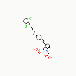 O=C(O)Cc1cn(CC(=O)O)c2cccc(/C=C/c3ccc(OCCCCOc4c(Cl)cccc4Cl)cc3)c12